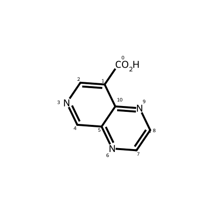 O=C(O)c1cncc2nc[c]nc12